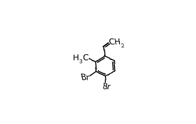 C=Cc1ccc(Br)c(Br)c1C